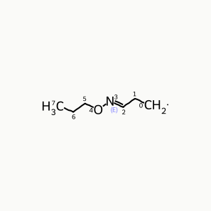 [CH2]C/C=N/OCCC